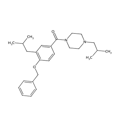 CC(C)Cc1cc(C(=O)N2CCN(CC(C)C)CC2)ccc1OCc1ccccc1